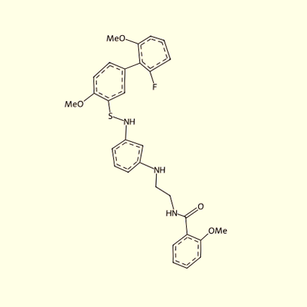 COc1ccc(-c2c(F)cccc2OC)cc1SNc1cccc(NCCNC(=O)c2ccccc2OC)c1